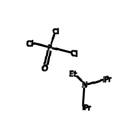 CCN(C(C)C)C(C)C.O=P(Cl)(Cl)Cl